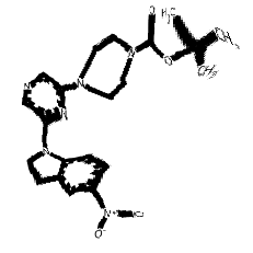 CC(C)(C)OC(=O)N1CCN(c2cncc(N3CCc4cc([N+](=O)[O-])ccc43)n2)CC1